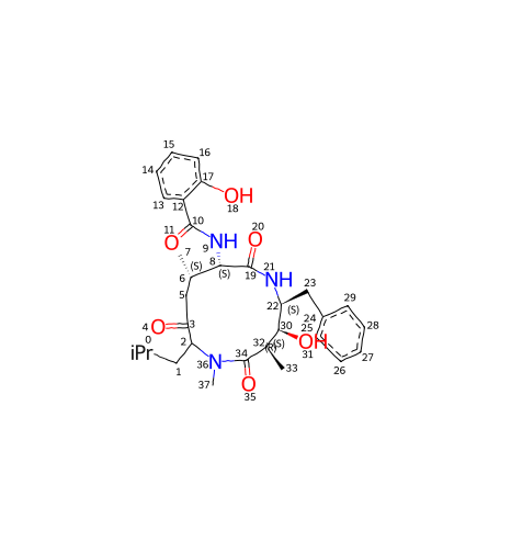 CC(C)CC1C(=O)C[C@H](C)[C@H](NC(=O)c2ccccc2O)C(=O)N[C@@H](Cc2ccccc2)[C@@H](O)[C@@H](C)C(=O)N1C